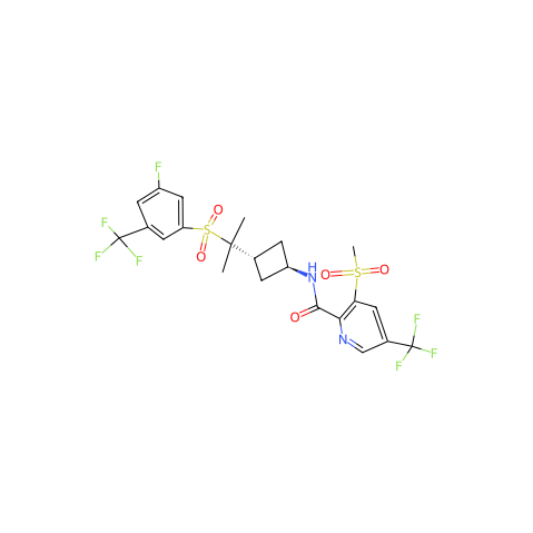 CC(C)([C@H]1C[C@H](NC(=O)c2ncc(C(F)(F)F)cc2S(C)(=O)=O)C1)S(=O)(=O)c1cc(F)cc(C(F)(F)F)c1